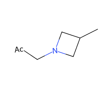 CC(=O)CN1CC(C)C1